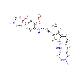 CN1CCP(=O)(c2ccc(NCC#Cc3sc4c(N[C@H]5CCN(C)C[C@H]5F)cccc4c3CC(F)(F)F)c(OC(F)(F)F)c2)CC1